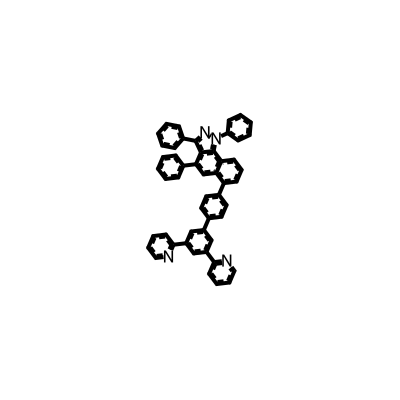 c1ccc(-c2cc3c(-c4ccc(-c5cc(-c6ccccn6)cc(-c6ccccn6)c5)cc4)cccc3c3c2c(-c2ccccc2)nn3-c2ccccc2)cc1